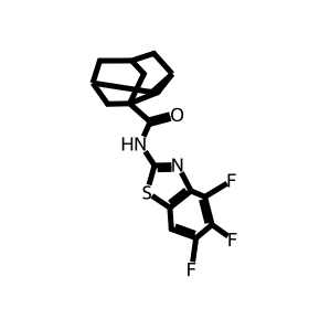 O=C(Nc1nc2c(F)c(F)c(F)cc2s1)C12CC3CC(CC(C3)C1)C2